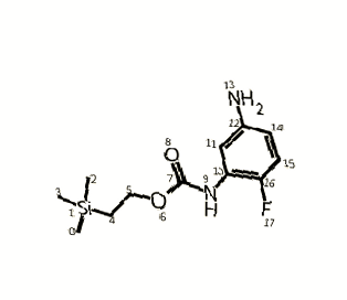 C[Si](C)(C)CCOC(=O)Nc1cc(N)ccc1F